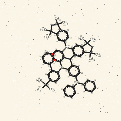 Cc1cc2c3c(c1)N(c1ccc(C(C)(C)C)cc1-c1ccccc1)c1cc(N(c4ccccc4)c4ccccc4)ccc1C3c1cc3c(cc1N2c1ccc2c(c1)C(C)(C)CC2(C)C)C(C)(C)CC3(C)C